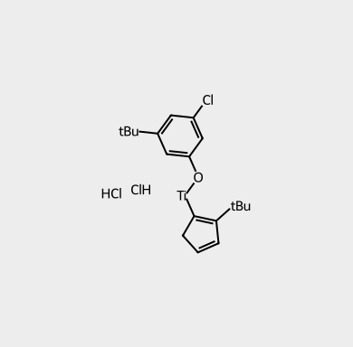 CC(C)(C)C1=[C]([Ti][O]c2cc(Cl)cc(C(C)(C)C)c2)CC=C1.Cl.Cl